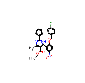 CCOC(=O)C1=C(C)N=C(c2ccccc2)NC1c1cc([N+](=O)[O-])ccc1OCc1ccc(Cl)cc1